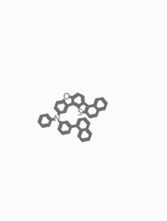 c1ccc(N(c2cccc(-c3cccc4ccccc34)c2)c2ccc3oc4ccc5c(sc6ccc7ccccc7c65)c4c3c2)cc1